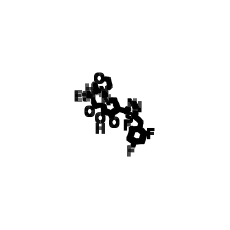 CCN1C(=O)c2c(O)c(=O)c(-c3nnc(Cc4c(F)cc(F)cc4F)s3)cn2N2CCOC[C@@H]12